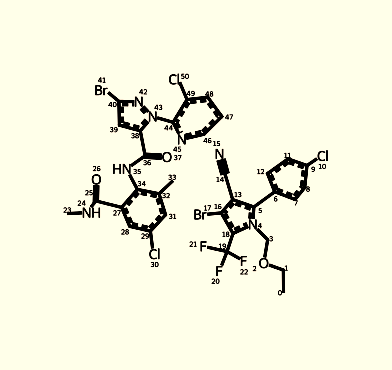 CCOCn1c(-c2ccc(Cl)cc2)c(C#N)c(Br)c1C(F)(F)F.CNC(=O)c1cc(Cl)cc(C)c1NC(=O)c1cc(Br)nn1-c1ncccc1Cl